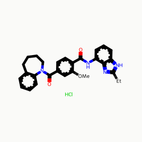 CCc1nc2c(NC(=O)c3ccc(C(=O)N4CCCCc5ccccc54)cc3OC)cccc2[nH]1.Cl